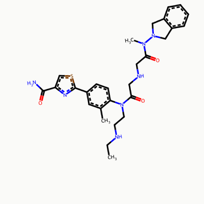 CCNCCN(C(=O)CNCC(=O)N(C)N1Cc2ccccc2C1)c1ccc(-c2nc(C(N)=O)cs2)cc1C